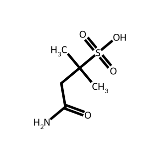 CC(C)(CC(N)=O)S(=O)(=O)O